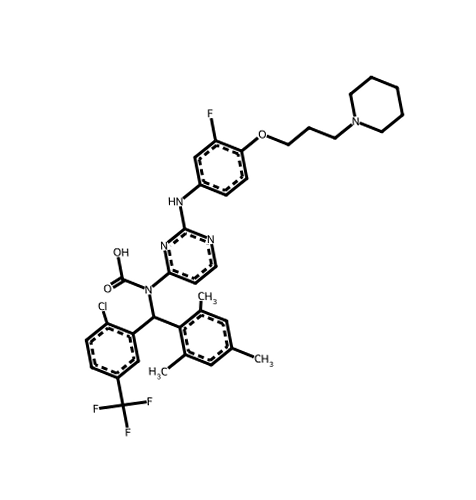 Cc1cc(C)c(C(c2cc(C(F)(F)F)ccc2Cl)N(C(=O)O)c2ccnc(Nc3ccc(OCCCN4CCCCC4)c(F)c3)n2)c(C)c1